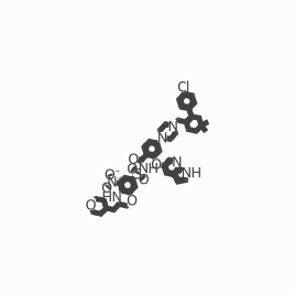 CC1(C)CCC(CN2CCN(c3ccc(C(=O)NS(=O)(=O)c4cc5c(c([N+](=O)[O-])c4)NC(CC4CCOCC4)CO5)c(Oc4cnc5[nH]ccc5c4)c3)CC2)=C(c2ccc(Cl)cc2)C1